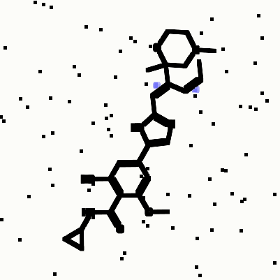 C/C=C\C(=C/c1ncc(-c2cc(O)c(C(=O)NC3CC3)c(OC)c2)[nH]1)C1(C)CN(C)CCO1